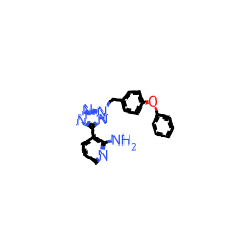 Nc1ncccc1-c1nnn(Cc2ccc(Oc3ccccc3)cc2)n1